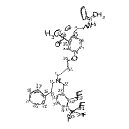 CC(=O)NCc1ccc(OCCCN(CCc2ccccc2)Cc2cccc(C(F)(F)F)c2F)cc1S(C)(=O)=O